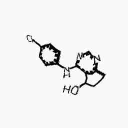 OC1CCc2ncnc(Nc3ccc(Cl)cc3)c21